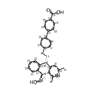 Cc1cc([C@@H](CCc2ccc(-c3ccc(C(=O)O)cc3)cc2)c2ccccc2/C=N\O)cc(C)n1